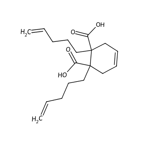 C=CCCCC1(C(=O)O)CC=CCC1(CCCC=C)C(=O)O